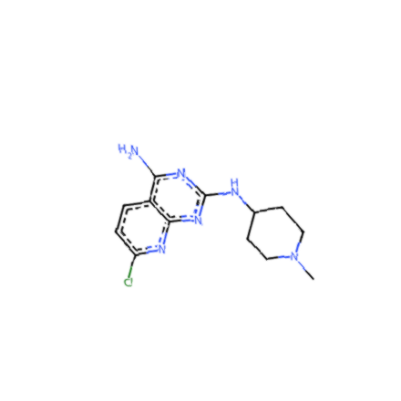 CN1CCC(Nc2nc(N)c3ccc(Cl)nc3n2)CC1